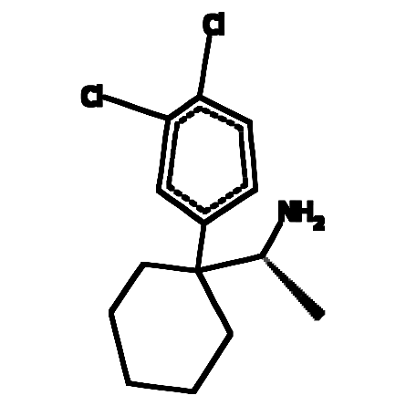 C[C@@H](N)C1(c2ccc(Cl)c(Cl)c2)CCCCC1